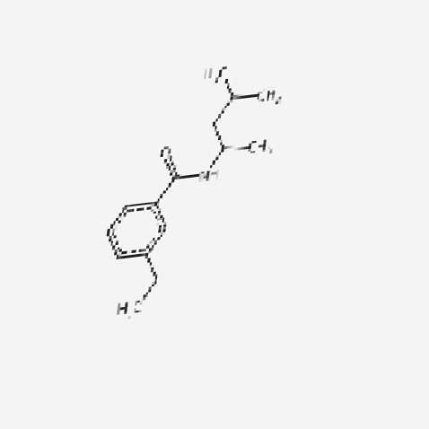 CCc1cccc(C(=O)NC(C)CC(C)C)c1